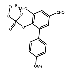 CCOP(=O)(OCC)Oc1c(OC)cc(C=O)cc1-c1ccc(OC)cc1